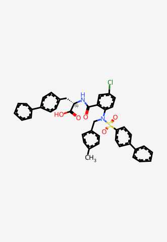 Cc1ccc(CN(c2ccc(Cl)cc2C(=O)N[C@@H](Cc2ccc(-c3ccccc3)cc2)C(=O)O)S(=O)(=O)c2ccc(-c3ccccc3)cc2)cc1